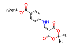 CCCCCOC(=O)c1ccc(NC=C2C(=O)OC(CC)(CC)OC2=O)cc1